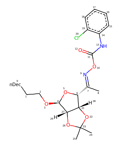 CCCCCCCCCCCCO[C@H]1O[C@H](/C(C)=N/OC(=O)Nc2ccccc2Cl)[C@@H]2OC(C)(C)O[C@H]12